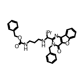 CC(C)C(NCCCNC(=O)OCc1ccccc1)c1nc2c(oc3ccccc32)c(=O)n1Cc1ccccc1